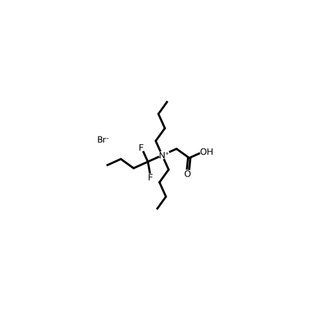 CCCC[N+](CCCC)(CC(=O)O)C(F)(F)CCC.[Br-]